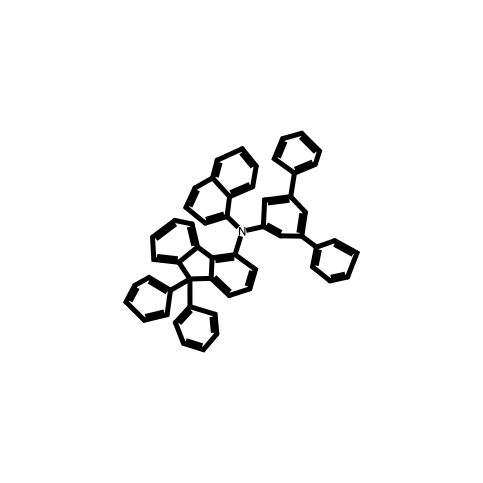 c1ccc(-c2cc(-c3ccccc3)cc(N(c3cccc4c3-c3ccccc3C4(c3ccccc3)c3ccccc3)c3cccc4ccccc34)c2)cc1